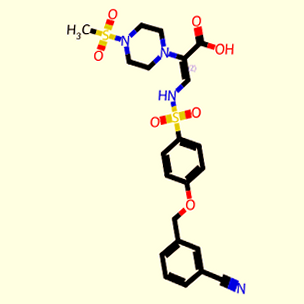 CS(=O)(=O)N1CCN(/C(=C\NS(=O)(=O)c2ccc(OCc3cccc(C#N)c3)cc2)C(=O)O)CC1